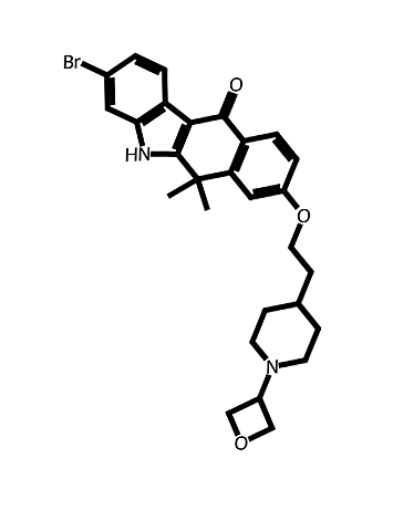 CC1(C)c2cc(OCCC3CCN(C4COC4)CC3)ccc2C(=O)c2c1[nH]c1cc(Br)ccc21